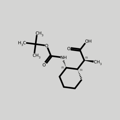 C[C@H](C(=O)O)[C@@H]1CCCC[C@@H]1NC(=O)OC(C)(C)C